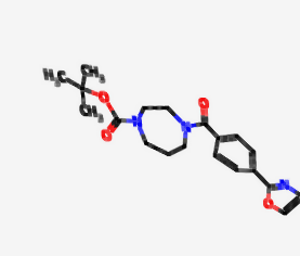 CC(C)(C)OC(=O)N1CCCN(C(=O)c2ccc(-c3ncco3)cc2)CC1